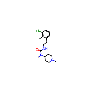 Cc1c(Cl)cccc1CCNC(=O)N(C)C1CCN(C)CC1